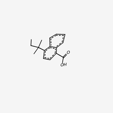 CCC(C)(C)c1ccc(C(=O)O)c2ccccc12